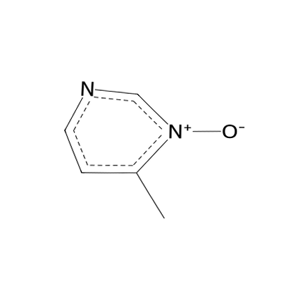 Cc1ccnc[n+]1[O-]